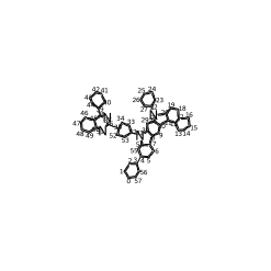 c1ccc(-c2ccc3c4cc5c6c7ccccc7ccc6n(-c6ccccc6)c5cc4n(-c4ccc(-c5nc(-c6ccccc6)c6ccccc6n5)cc4)c3c2)cc1